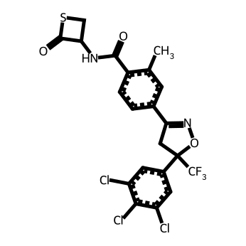 Cc1cc(C2=NOC(c3cc(Cl)c(Cl)c(Cl)c3)(C(F)(F)F)C2)ccc1C(=O)NC1CSC1=O